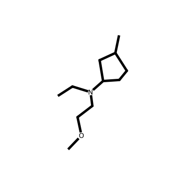 CCN(CCOC)C1CCC(C)C1